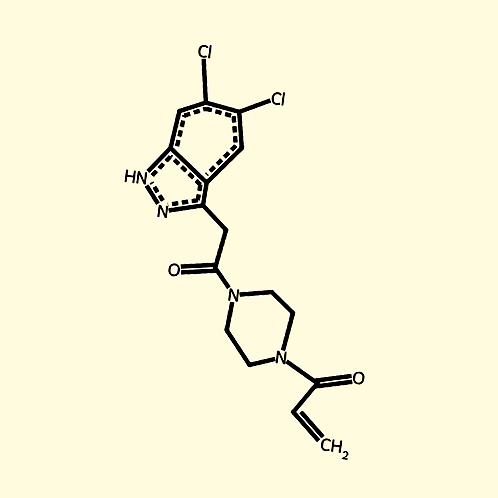 C=CC(=O)N1CCN(C(=O)Cc2n[nH]c3cc(Cl)c(Cl)cc23)CC1